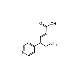 CCC(C=CC(=O)O)c1ccncc1